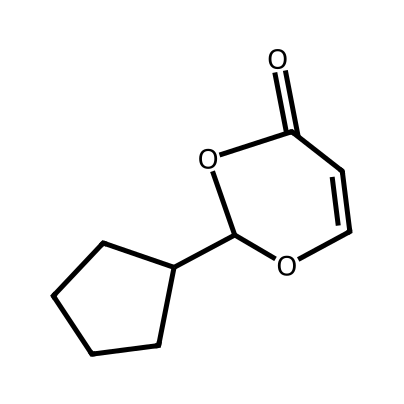 O=C1C=COC(C2CCCC2)O1